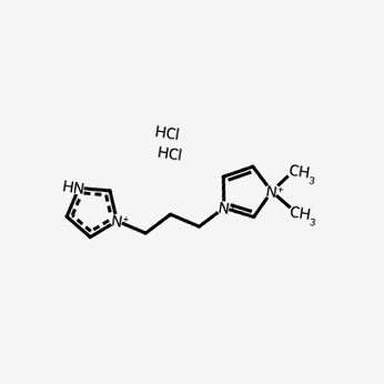 C[N+]1(C)C=C[N+](CCC[n+]2cc[nH]c2)=C1.Cl.Cl